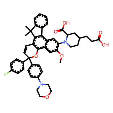 COc1cc2c3c(c4c(c2cc1N1CCC(CCC(=O)O)CC1C(=O)O)-c1ccccc1C4(C)C)C=CC(c1ccc(F)cc1)(c1ccc(N2CCOCC2)cc1)O3